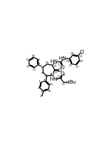 Cc1ccc(C2C[C@@H](c3ccccc3)C[C@@H](NC(=O)Nc3cccc(Cl)c3)C(=O)N2NC(=O)CC(C)(C)C)cc1